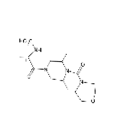 CC1CN(C(=O)[C@H](C)NC(=O)O)CC(C)N1C(=O)N1CCOCC1